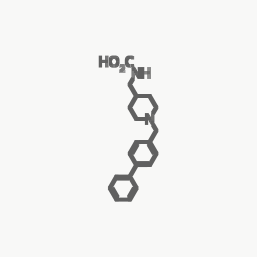 O=C(O)NCC1CCN(Cc2ccc(-c3ccccc3)cc2)CC1